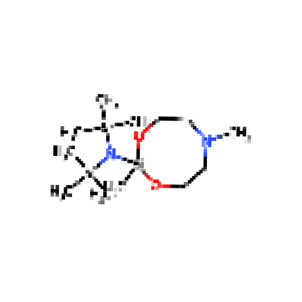 CN1CCO[Si](C)(N([Si](C)(C)C)[Si](C)(C)C)OCC1